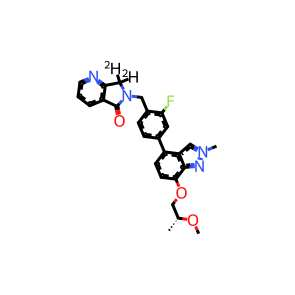 [2H]C1([2H])c2ncccc2C(=O)N1Cc1ccc(-c2ccc(OC[C@@H](C)OC)c3nn(C)cc23)cc1F